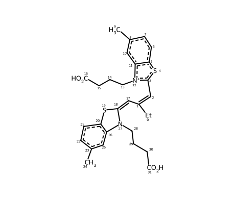 CCC(=Cc1sc2ccc(C)cc2[n+]1CCCC(=O)O)C=C1Sc2ccc(C)cc2N1CCCC(=O)O